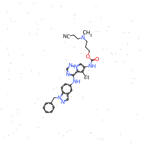 CCc1c(NC(=O)OCCCN(C)CCC#N)cn2ncnc(Nc3ccc4c(cnn4Cc4ccccc4)c3)c12